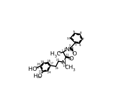 CC(NC(=O)c1ccccc1)C(=O)N(C)CCc1ccc(O)c(O)c1